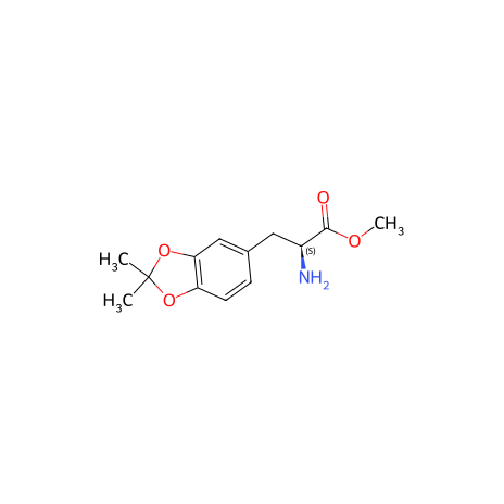 COC(=O)[C@@H](N)Cc1ccc2c(c1)OC(C)(C)O2